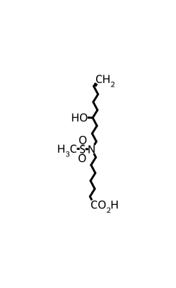 C=CCCCC(O)CCCN(CCCCCCC(=O)O)S(C)(=O)=O